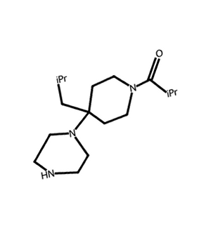 CC(C)CC1(N2CCNCC2)CCN(C(=O)C(C)C)CC1